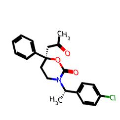 CC(=O)C[C@@]1(c2ccccc2)CCN([C@@H](C)c2ccc(Cl)cc2)C(=O)O1